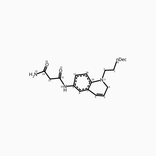 CCCCCCCCCCCCN1CC=Cc2cc(NC(=O)CC(N)=O)ccc21